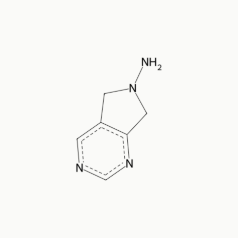 NN1Cc2cncnc2C1